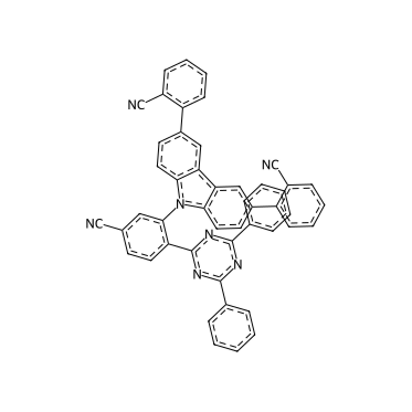 N#Cc1ccc(-c2nc(-c3ccccc3)nc(-c3ccccc3)n2)c(-n2c3ccc(-c4ccccc4C#N)cc3c3cc(-c4ccccc4C#N)ccc32)c1